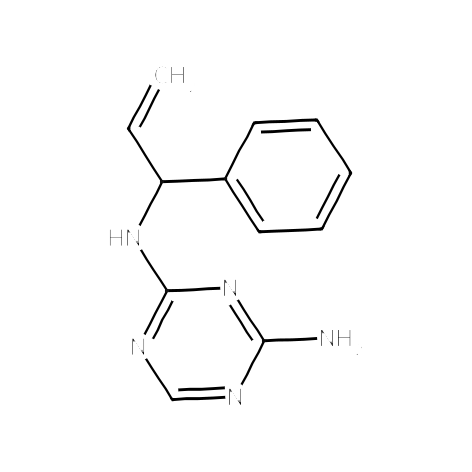 C=CC(Nc1ncnc(N)n1)c1ccccc1